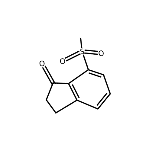 CS(=O)(=O)c1cccc2c1C(=O)CC2